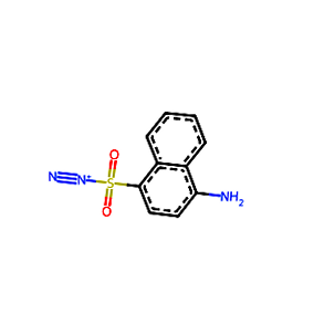 N#[N+]S(=O)(=O)c1ccc(N)c2ccccc12